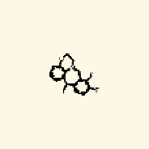 Fc1ccc2c(c1F)CN1CCOc3cccc(c31)C2I